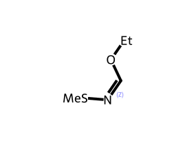 CCO/C=N\SC